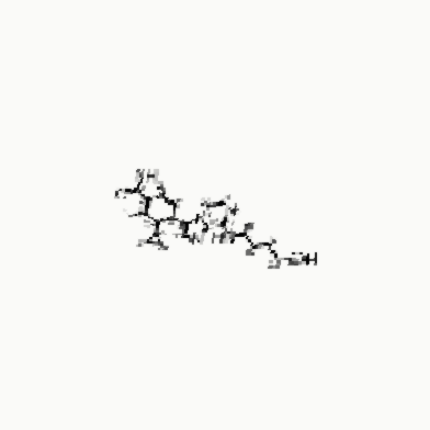 Cc1c(C(N)=O)ccc(-c2cnc3c(NCCCCO)nccn23)c1C1CC1